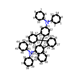 c1ccc(N(c2ccccc2)c2ccc3c(c2)-c2ccccc2C32c3ccccc3-c3c2cc(N(c2ccccc2)c2ccccc2)c2ccccc32)cc1